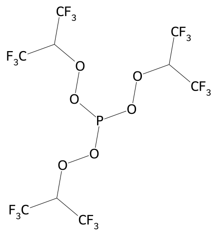 FC(F)(F)C(OOP(OOC(C(F)(F)F)C(F)(F)F)OOC(C(F)(F)F)C(F)(F)F)C(F)(F)F